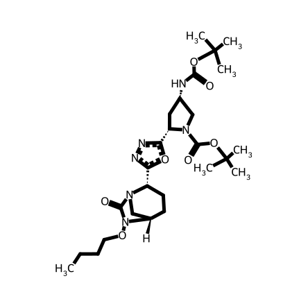 CCCCON1C(=O)N2C[C@@H]1CC[C@H]2c1nnc([C@@H]2C[C@H](NC(=O)OC(C)(C)C)CN2C(=O)OC(C)(C)C)o1